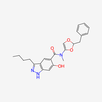 CCCCc1n[nH]c2cc(O)c(C(=O)N(C)C3=COC(Cc4ccccc4)O3)cc12